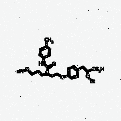 CCCOCCCN(CCOc1ccc(CC(OCC)C(=O)O)cc1)C(=O)Nc1ccc(C)cc1